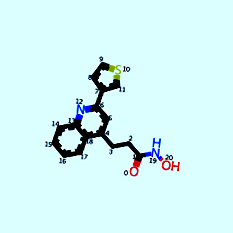 O=C(CCc1cc(-c2ccsc2)nc2ccccc12)NO